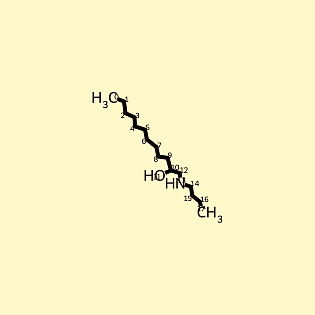 CCCCCCCCCCC(O)CNCCCC